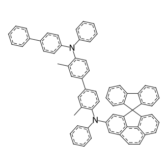 Cc1cc(-c2ccc(N(c3ccccc3)c3cc4c5c(ccc6cccc(c65)C45c4ccccc4-c4ccccc45)c3)c(C)c2)ccc1N(c1ccccc1)c1ccc(-c2ccccc2)cc1